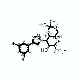 CC1(C)OC[C@H]2O[C@@H](C(=O)O)[C@H](O)[C@@H](n3cc(-c4cc(F)cc(F)c4)nn3)[C@H]2O1